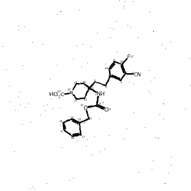 N#Cc1cc(CCC2(NC(=O)OCc3ccccc3)CCN(C(=O)O)CC2)ccc1F